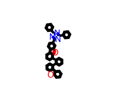 c1ccc(-c2nc(-c3ccccc3)nc(-c3ccc4c(c3)oc3c(-c5ccccc5-c5cccc6oc7ccccc7c56)cccc34)n2)cc1